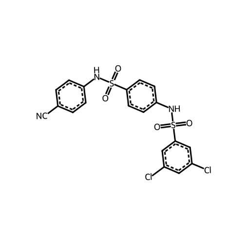 N#Cc1ccc(NS(=O)(=O)c2ccc(NS(=O)(=O)c3cc(Cl)cc(Cl)c3)cc2)cc1